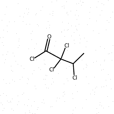 CC(Cl)C(Cl)(Cl)C(=O)Cl